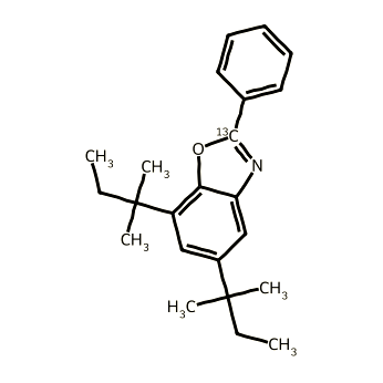 CCC(C)(C)c1cc(C(C)(C)CC)c2o[13c](-c3ccccc3)nc2c1